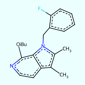 Cc1c(C)n(Cc2ccccc2F)c2c(OCC(C)C)nccc12